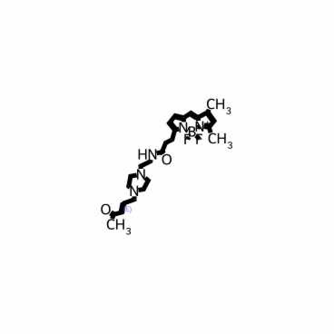 CC(=O)/C=C/CN1CCN(CCNC(=O)CCc2ccc3n2[B-](F)(F)[N+]2=C(C)C=C(C)C2=C3)CC1